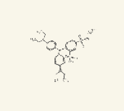 CCN(CC)c1ccc(C(=C2C=CC(=[N+](CC)CC)C=C2)c2ccc(S(=O)(=O)O)cc2S(=O)(=O)O)cc1.[Na+].[Na+]